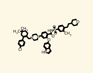 Cc1cc(S(=O)(=O)NC(=O)c2ccc(N3CCN(CC4=C(c5ccc(Cl)cc5)CC(C)(C)CC4)CC3)cc2Oc2ccc3[nH]ccc3c2)ccc1CCC1CCOCC1